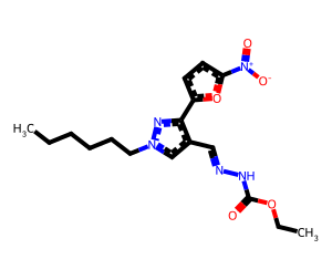 CCCCCCn1cc(C=NNC(=O)OCC)c(-c2ccc([N+](=O)[O-])o2)n1